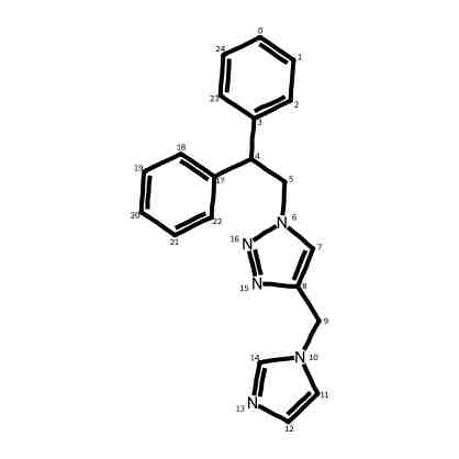 c1ccc(C(Cn2cc(Cn3ccnc3)nn2)c2ccccc2)cc1